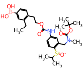 CCc1cc(B(O)O)ccc1CCOC(=O)Nc1ccc([S+]([O-])C(C)C)c(CN(C)C(=O)OC(C)(C)C)c1